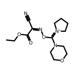 CCOC(=O)C(C#N)=NOC(N1CCOCC1)=[N+]1CCCC1